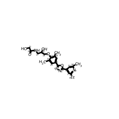 CCc1cc(-c2nnc(-c3cc(C)c(OCC(O)CNC(=O)CO)c(C)c3)o2)cc(C)n1